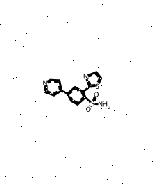 NS(=O)(=O)c1ccc(-c2ccncc2)cc1-c1nccs1